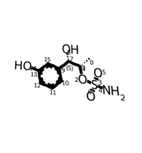 C[C@H](OS(N)(=O)=O)[C@@H](O)c1cccc(O)c1